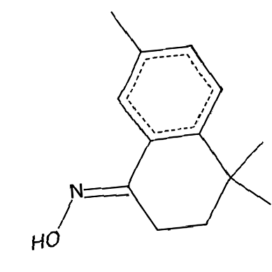 Cc1ccc2c(c1)/C(=N/O)CCC2(C)C